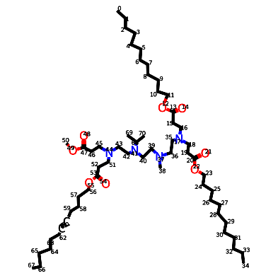 CCCCCCCCCCCCOC(=O)CCN(CCC(=O)OCCCCCCCCCCCC)CCN(C)CCN(CCN(CCC(=O)OC)CCC(=O)OCCCCCCCCCCCC)C(C)C